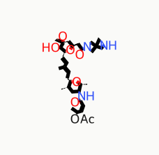 CC(=O)O[C@@H](C)/C=C\C(=O)N[C@@H]1C[C@H](C)[C@H](C/C=C(C)/C=C/[C@H]2O[C@H](CC(=O)N3CC4(CNC4)C3)C[C@@]3(CO3)[C@@H]2O)O[C@@H]1C